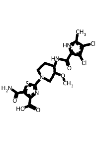 COC1CN(c2nc(C(=O)O)c(C(N)=O)s2)CCC1NC(=O)c1[nH]c(C)c(Cl)c1Cl